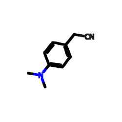 CN(C)c1ccc(CC#N)cc1